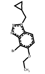 CCOc1ccc2c(nnn2CC2CC2)c1Br